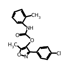 Cc1ccccc1NC(=O)Oc1c(-c2ccc(Cl)cc2)noc1C